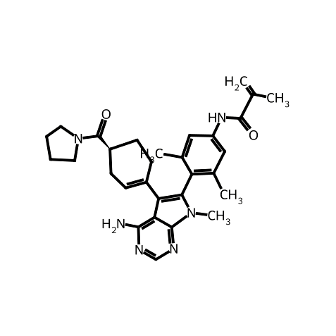 C=C(C)C(=O)Nc1cc(C)c(-c2c(C3=CC[C@@H](C(=O)N4CCCC4)CC3)c3c(N)ncnc3n2C)c(C)c1